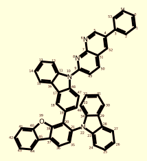 c1ccc(-c2cnc3nc(-n4c5ccccc5c5cc(-c6c(-n7c8ccccc8c8ccccc87)ccc7c6oc6ccccc67)ccc54)ccc3c2)cc1